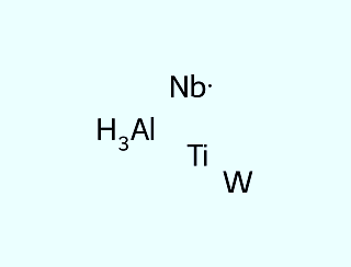 [AlH3].[Nb].[Ti].[W]